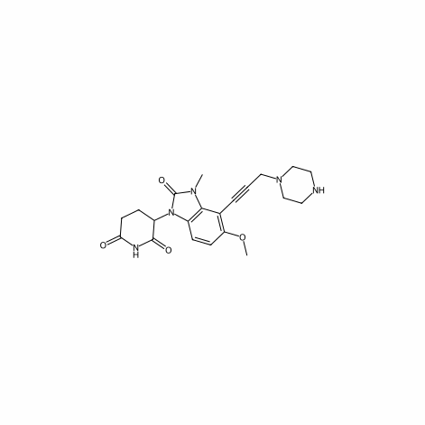 COc1ccc2c(c1C#CCN1CCNCC1)n(C)c(=O)n2C1CCC(=O)NC1=O